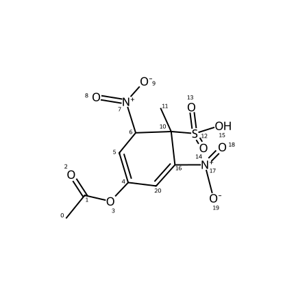 CC(=O)OC1=CC([N+](=O)[O-])C(C)(S(=O)(=O)O)C([N+](=O)[O-])=C1